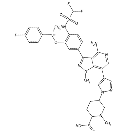 C[C@H](Oc1cc(-c2nn(C)c3c(-c4cnn(C5CCC(C(=O)O)N(C)C5)c4)cnc(N)c23)ccc1NS(=O)(=O)C(F)F)c1ccc(F)cc1